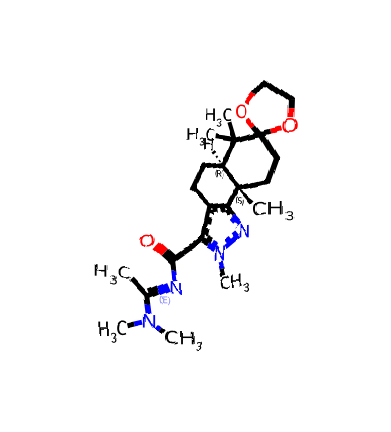 C/C(=N\C(=O)c1c2c(nn1C)[C@@]1(C)CCC3(OCCO3)C(C)(C)[C@@H]1CC2)N(C)C